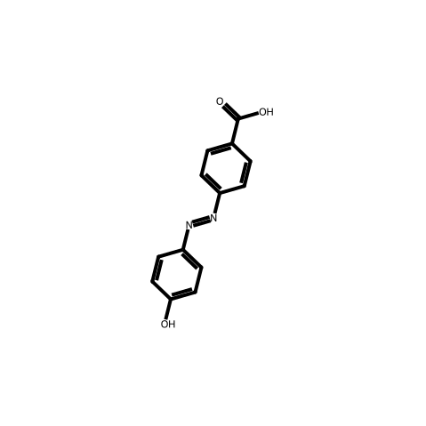 O=C(O)c1ccc(N=Nc2ccc(O)cc2)cc1